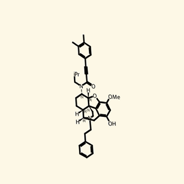 COc1cc(O)c2c3c1O[C@H]1[C@@H](N(CC(C)C)C(=O)C#Cc4ccc(C)c(C)c4)CC[C@H]4[C@@H](C2)N(CCc2ccccc2)CC[C@@]341